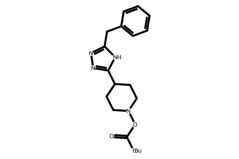 CC(C)(C)C(=O)ON1CCC(c2nnc(Cc3ccccc3)[nH]2)CC1